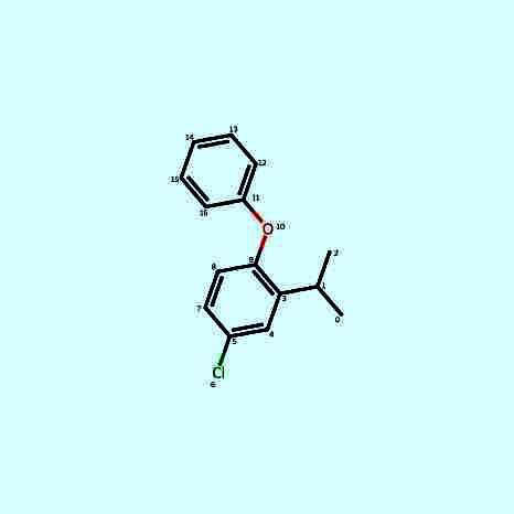 CC(C)c1cc(Cl)ccc1Oc1ccccc1